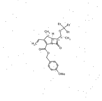 C=CC1=C(C(=O)OCc2ccc(OC)cc2)N2C(=O)[C@H]([C@@H](C)O[Si](CC)(CC)CC)[C@@H]2[C@H]1C